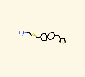 NCCSCC1CCC2(CC1)CCC(Cc1ccsc1)CC2